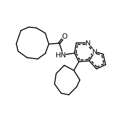 O=C(Nc1cnn2cccc2c1C1CCCCCCC1)C1CCCCCCCCC1